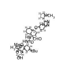 COc1c(NC(=O)N[C@@]2(C=O)C=C[C@@H](Oc3ccc4nnc([C@@H]5CCCN5C)n4c3)c3ccccc32)cc(C(C)(C)C)cc1N(CCO)S(C)(=O)=O